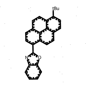 CC(C)(C)c1ccc2ccc3c(-c4nc5ccccc5o4)ccc4ccc1c2c43